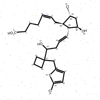 O=C(O)CCC/C=C\C[C@@H]1[C@@H](/C=C/CC(O)C2(Cc3ccc(Cl)s3)CCC2)[C@H](O)C[C@H]1Cl